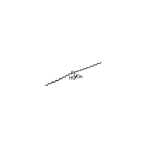 CCCCCCCCCCCCCCCCCC(=O)OCCCCCCCCCCCCCCCC.OCCO